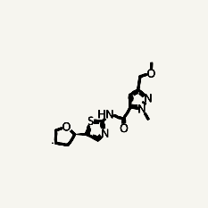 COCc1cc(C(=O)Nc2ncc([C@H]3C[CH]CO3)s2)n(C)n1